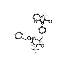 CC(C)(C)OC(=O)[C@H](Cc1ccc(-n2c(=O)[nH]c3cccnc32)cc1)NC(=O)OCc1ccccc1